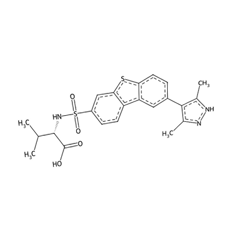 Cc1n[nH]c(C)c1-c1ccc2sc3cc(S(=O)(=O)N[C@H](C(=O)O)C(C)C)ccc3c2c1